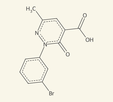 Cc1cc(C(=O)O)c(=O)n(-c2cccc(Br)c2)n1